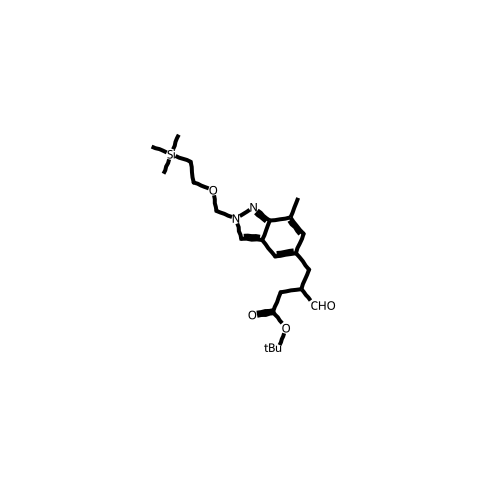 Cc1cc(CC(C=O)CC(=O)OC(C)(C)C)cc2cn(COCC[Si](C)(C)C)nc12